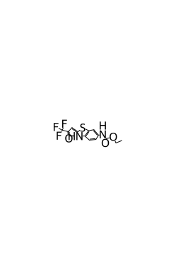 CCOC(=O)Nc1ccc2c(c1)S/C(=C/C(=O)C(F)(F)F)N2